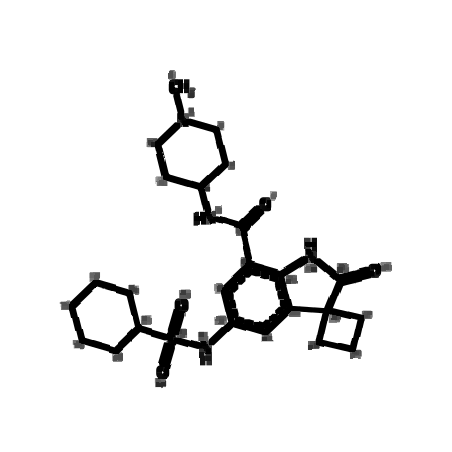 CN1CCC(NC(=O)c2cc(NS(=O)(=O)C3CCCCC3)cc3c2NC(=O)C32CCC2)CC1